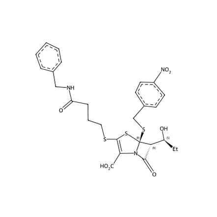 CC[C@H](O)[C@@H]1C(=O)N2C(C(=O)O)=C(SCCCC(=O)NCc3ccccc3)S[C@]12SCc1ccc([N+](=O)[O-])cc1